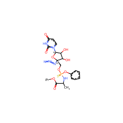 CC(C)OC(=O)C(C)NP(=S)(OC[C@@]1(N=[N+]=[N-])O[C@@H](n2ccc(=O)[nH]c2=O)C(O)C1O)Oc1ccccc1